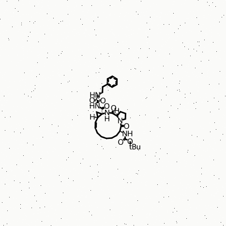 CC(C)(C)OC(=O)N[C@H]1CCCCC/C=C\[C@@H]2C[C@@]2(C(=O)NS(=O)(=O)NCCc2ccccc2)NC(=O)[C@@H]2CCCN2C1=O